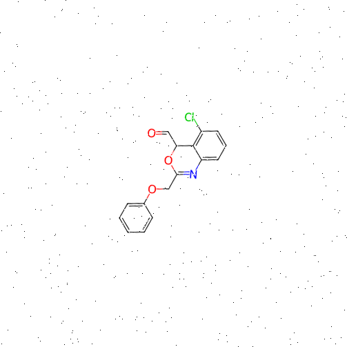 O=CC1OC(COc2ccccc2)=Nc2cccc(Cl)c21